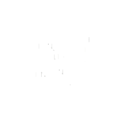 CC12CCC(C1)C(C)(C)C2N(C(=O)[C@@H](N)CC(=O)O)C(=O)C1(N)CC1